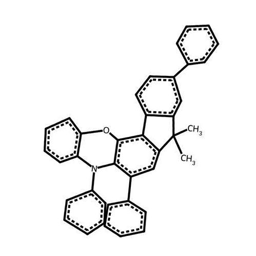 CC1(C)c2cc(-c3ccccc3)ccc2-c2c1cc(-c1ccccc1)c1c2Oc2ccccc2N1c1ccccc1